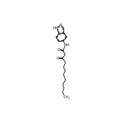 CCCCCCCCCC(=O)CC(=O)Nc1ccc2[nH]ncc2c1